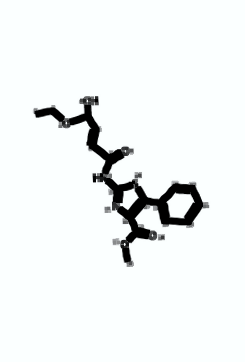 CCOC(O)/C=C/C(=O)Nc1nc(C(=O)OC)c(-c2ccccc2)s1